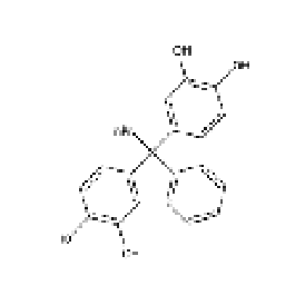 CCCC(c1ccccc1)(c1ccc(O)c(O)c1)c1ccc(O)c(O)c1